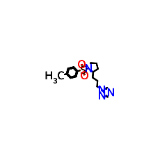 Cc1ccc(S(=O)(=O)N2CCCC2CCCn2cncn2)cc1